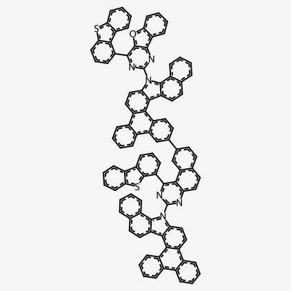 c1ccc2c(c1)ccc1c3c4c5ccccc5c5ccccc5c4ccc3n(-c3nc(-c4cccc5c4sc4ccccc45)c4c(ccc5ccc(-c6ccc7c(c6)c6ccccc6c6ccc8c(c9ccc%10ccccc%10c9n8-c8nc(-c9cccc%10sc%11ccccc%11c9%10)c9oc%10ccccc%10c9n8)c67)cc54)n3)c21